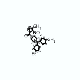 CCC1=CCC(C(c2ccc(C)cc2)N2CCN(C(=O)c3noc(C)c3[N+](=O)[O-])CC2)C=C1